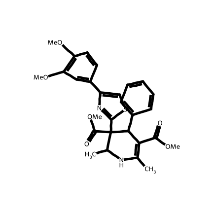 COC(=O)C1=C(C)NC(C)C(C(=O)OC)(c2nc(-c3ccc(OC)c(OC)c3)cs2)C1c1ccccc1